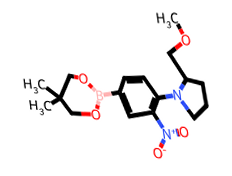 COCC1CCCN1c1ccc(B2OCC(C)(C)CO2)cc1[N+](=O)[O-]